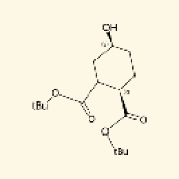 CC(C)(C)OC(=O)C1C[C@@H](O)CC[C@H]1C(=O)OC(C)(C)C